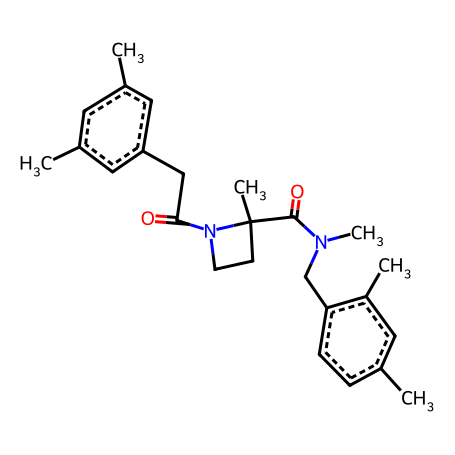 Cc1cc(C)cc(CC(=O)N2CCC2(C)C(=O)N(C)Cc2ccc(C)cc2C)c1